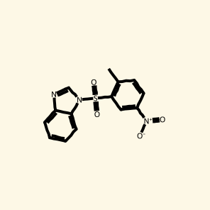 Cc1ccc([N+](=O)[O-])cc1S(=O)(=O)n1cnc2ccccc21